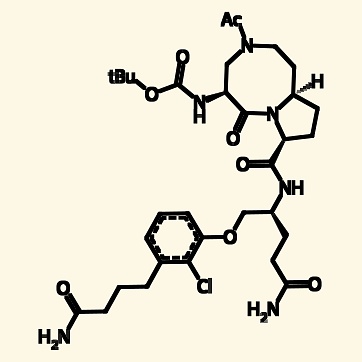 CC(=O)N1CC[C@H]2CC[C@@H](C(=O)N[C@@H](CCC(N)=O)COc3cccc(CCCC(N)=O)c3Cl)N2C(=O)[C@@H](NC(=O)OC(C)(C)C)C1